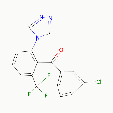 O=C(c1cccc(Cl)c1)c1c(-n2cnnc2)cccc1C(F)(F)F